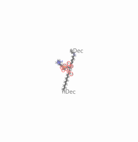 CCCCCCCCCCC/C=C\CCCCC(=O)O[C@H](COC(=O)CCCCCCCCCCCCCCCCCCC)COP(=O)(O)OCC[N+](C)(C)C